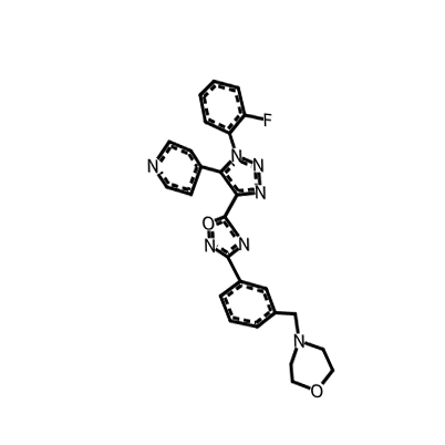 Fc1ccccc1-n1nnc(-c2nc(-c3cccc(CN4CCOCC4)c3)no2)c1-c1ccncc1